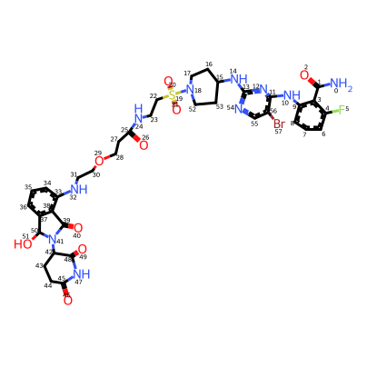 NC(=O)c1c(F)cccc1Nc1nc(NC2CCN(S(=O)(=O)CCNC(=O)CCOCCNc3cccc4c3C(=O)N(C3CCC(=O)NC3=O)C4O)CC2)ncc1Br